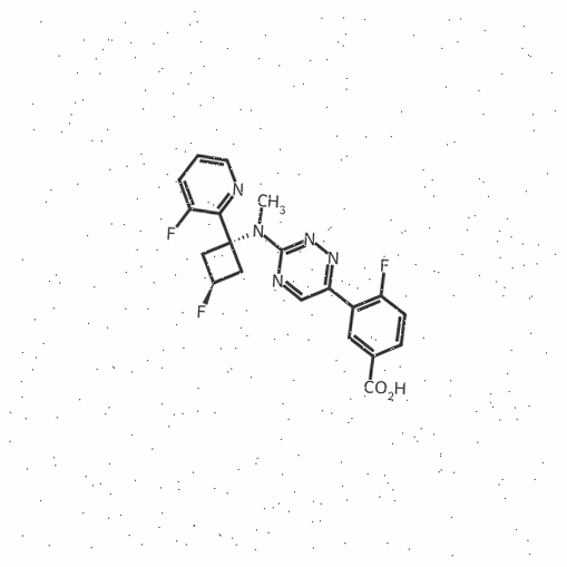 CN(c1ncc(-c2cc(C(=O)O)ccc2F)nn1)[C@]1(c2ncccc2F)C[C@@H](F)C1